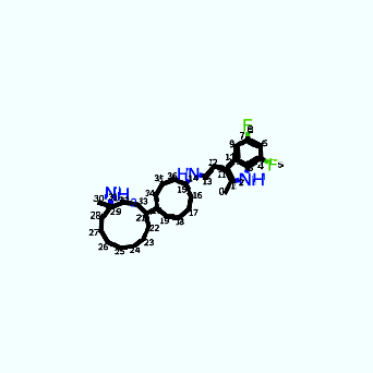 Cc1[nH]c2c(F)cc(F)cc2c1CCNC1CCCCC(C2CCCCCCCC(C)(N)CC2)CCC1